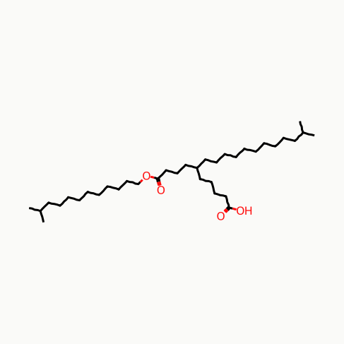 CC(C)CCCCCCCCCCOC(=O)CCCC(CCCCCCCCCCC(C)C)CCCCC(=O)O